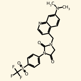 CN(C)c1ccc2c(CN3CC(=O)N(c4ccc(S(=O)(=O)C(F)(F)F)cc4)C3=O)ccnc2c1